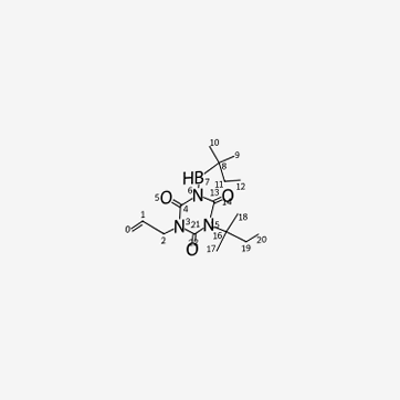 C=CCn1c(=O)n(BC(C)(C)CC)c(=O)n(C(C)(C)CC)c1=O